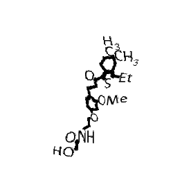 CCc1sc(C(=O)CCc2ccc(OCCCNC(=O)CO)cc2OC)c2c1CC(C)(C)CC2